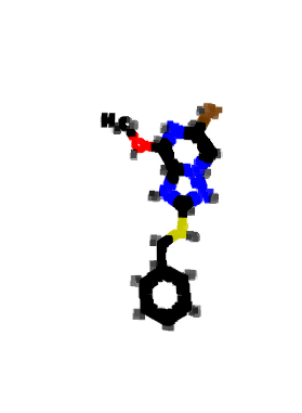 COc1nc(Br)cn2nc(SCc3ccccc3)nc12